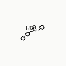 O=C(O)C(CCCc1ccccc1)CCc1ccc(-c2ccccc2)cc1